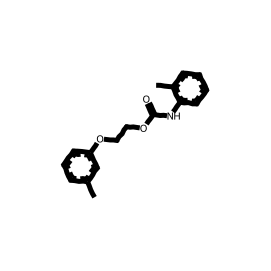 Cc1cccc(OCCOC(=O)Nc2ccccc2C)c1